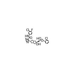 Cn1cnc(C2CC3CC(O)(C#CC4(O)CC(c5ccccc5Cl)C4)CC3C2)c1C(=O)Nc1ccc(F)c(Cl)c1